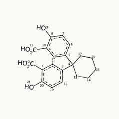 O=C(O)c1cc(C2(c3ccc(O)c(C(=O)O)c3)CCCCC2)ccc1O